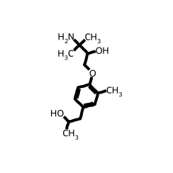 Cc1cc(CC(C)O)ccc1OCC(O)C(C)(C)N